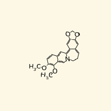 COc1ccc2c(c1OC)=CN1CCC=c3cc4c(cc3=C1C=2)OCO4